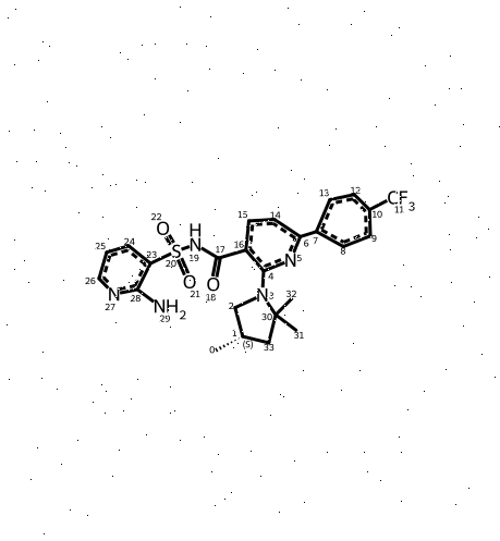 C[C@@H]1CN(c2nc(-c3ccc(C(F)(F)F)cc3)ccc2C(=O)NS(=O)(=O)c2cccnc2N)C(C)(C)C1